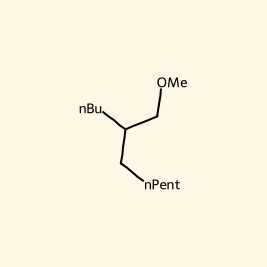 CCCCCCC(CCCC)COC